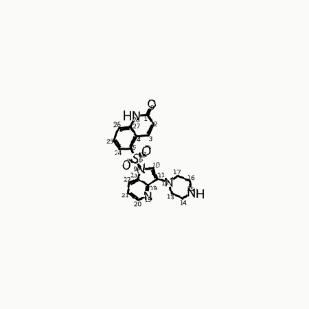 O=c1ccc2c(S(=O)(=O)n3cc(N4CCNCC4)c4ncccc43)cccc2[nH]1